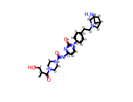 CC(CO)C(=O)N1CCN(C(=O)Nc2ccn(-c3ccc(CCN4CC5CC(N)(C5)C4)cc3)c(=O)n2)CC1